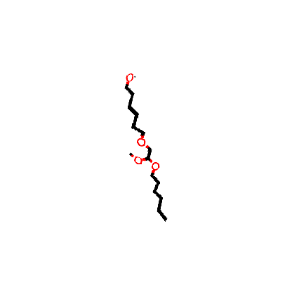 CCCCCCOC(COCCCCCC[O])OC